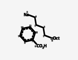 CCCCCCCCCCC[CH2][Na].O=C(O)c1ccccc1